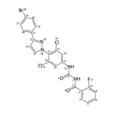 O=C(NC(=O)c1ccccc1F)Nc1cc(Cl)c(-n2ccc(-c3ccc(Br)cc3)n2)c(Cl)c1